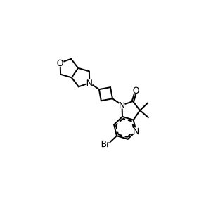 CC1(C)C(=O)N(C2CC(N3CC4COCC4C3)C2)c2cc(Br)cnc21